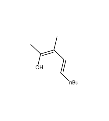 CCCCC=CC(C)=C(C)O